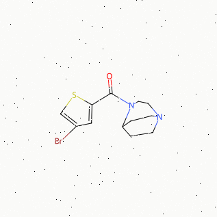 O=C(c1cc(Br)cs1)N1CCN2CCC1CC2